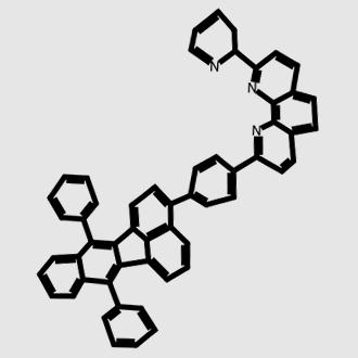 C1=CCC(c2ccc3ccc4ccc(-c5ccc(-c6ccc7c8c(cccc68)-c6c-7c(-c7ccccc7)c7ccccc7c6-c6ccccc6)cc5)nc4c3n2)N=C1